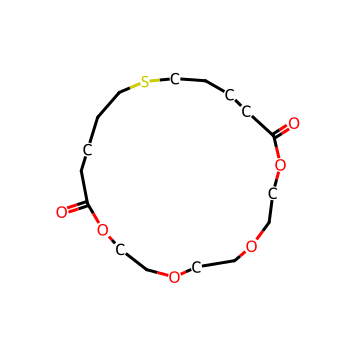 O=C1CCCCSCCCCC(=O)OCCOCCOCCO1